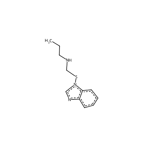 CCCNCSn1cnc2ccccc21